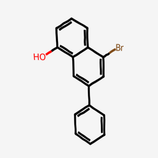 Oc1cccc2c(Br)cc(-c3ccccc3)cc12